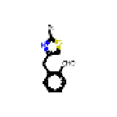 CCc1nc(Cc2ccccc2C=O)cs1